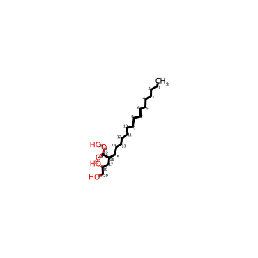 CCCCCCCCCCCCCCCCC(CC(O)CO)C(=O)OO